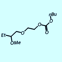 CCCCOC(=O)OCCOCC(CC)OC